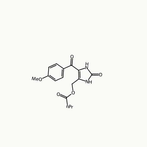 CCCC(=O)OCc1[nH]c(=O)[nH]c1C(=O)c1ccc(OC)cc1